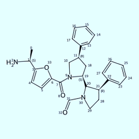 C[C@H](N)c1ccc(C(=O)N2C[C@@H](c3ccccc3)C[C@H]2C2[C@@H](c3ccccc3)CCN2C=O)o1